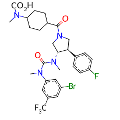 CN(C(=O)N(C)[C@@H]1CN(C(=O)C2CCC(N(C)C(=O)O)CC2)C[C@H]1c1ccc(F)cc1)c1cc(Br)cc(C(F)(F)F)c1